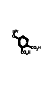 CCCOc1ccc(C(=O)O)c(C(=O)O)c1